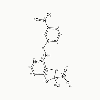 O=[N+]([O-])c1cccc(CNc2ncnc3c2CC(Cl)([N+](=O)[O-])S3)c1